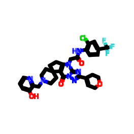 O=C(Cn1c2c(c(=O)n3nc(C4=CCOCC4)nc13)C1(CC2)CCN(Cc2ncccc2O)CC1)Nc1ccc(C(F)(F)F)cc1Cl